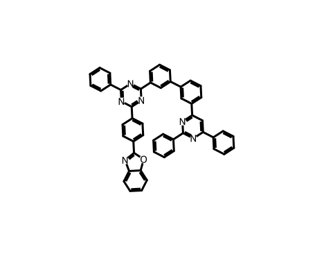 c1ccc(-c2cc(-c3cccc(-c4cccc(-c5nc(-c6ccccc6)nc(-c6ccc(-c7nc8ccccc8o7)cc6)n5)c4)c3)nc(-c3ccccc3)n2)cc1